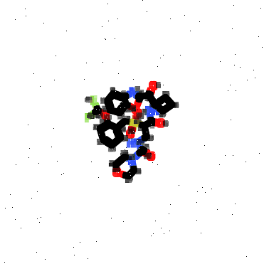 O=C(NC1(C(=O)c2nc3ccccc3o2)CCC1)C(CNC(=O)N1CCOCC1)S(=O)(=O)Cc1ccccc1OC(F)F